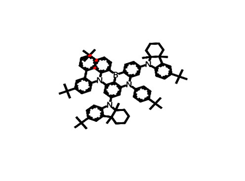 CC(C)(C)c1ccc(N2c3cc(N4c5ccc(C(C)(C)C)cc5C5(C)CCCCC45C)ccc3B3c4ccc(C(C)(C)C)cc4N(c4ccc(C(C)(C)C)cc4-c4ccccc4)c4cc(N5c6ccc(C(C)(C)C)cc6C6(C)CCCCC56C)cc2c43)cc1